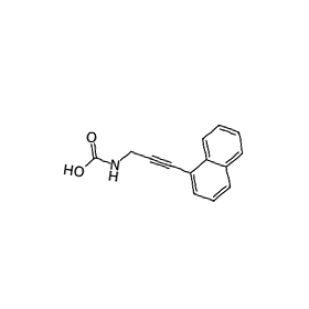 O=C(O)NCC#Cc1cccc2ccccc12